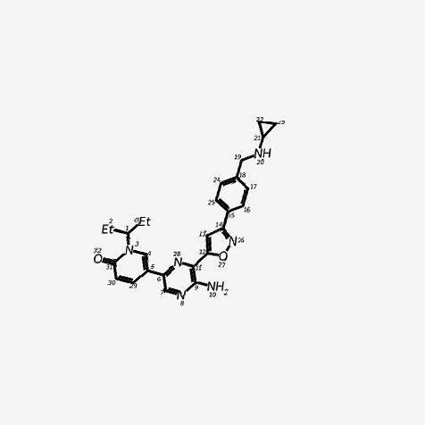 CCC(CC)n1cc(-c2cnc(N)c(-c3cc(-c4ccc(CNC5CC5)cc4)no3)n2)ccc1=O